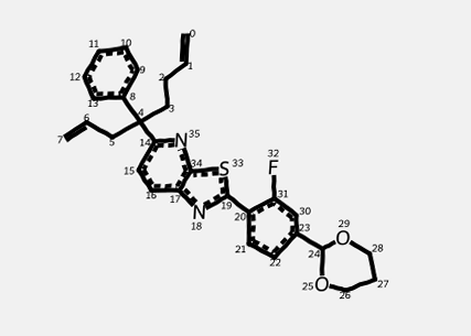 C=CCCC(CC=C)(c1ccccc1)c1ccc2nc(-c3ccc(C4OCCCO4)cc3F)sc2n1